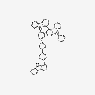 c1ccc(-n2c3ccccc3c3c(-c4cccc5c6ccccc6n(-c6ccc(-c7ccc(-c8ccc(-c9cccc%10c9oc9ccccc9%10)cc8)cc7)cc6)c45)cccc32)cc1